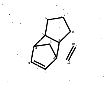 C1=CC2CC1C1CCCC21.C=C